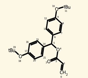 C=CC(=O)OC(c1ccc(OC(C)(C)C)cc1)c1ccc(OC(C)(C)C)cc1